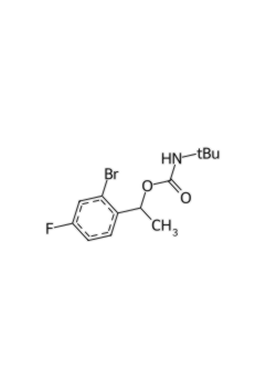 CC(OC(=O)NC(C)(C)C)c1ccc(F)cc1Br